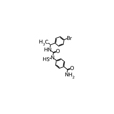 C[C@H](NC(=O)N(S)c1ccc(C(N)=O)cc1)c1ccc(Br)cc1